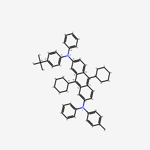 Cc1ccc(N(c2ccccc2)c2ccc3c(C4CCCCC4)c4ccc(N(c5ccccc5)c5ccc(C(C)(C)C)cc5)cc4c(C4CCCCC4)c3c2)cc1